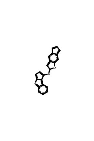 C1=Cc2cc3c(cc2=C1)O[CH]([Ti][C]1=CC=C2N=c4ccccc4=C21)C=3